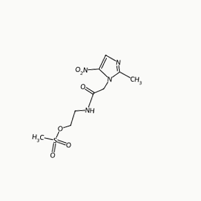 Cc1ncc([N+](=O)[O-])n1CC(=O)NCCOS(C)(=O)=O